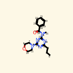 CCCc1nc(N2CCOCC2)nc(N(C)C(=O)c2ccccc2)n1